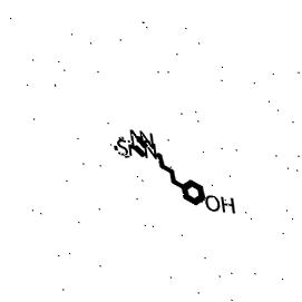 C[Si](C)(C)c1cn(CCCCc2ccc(O)cc2)nn1